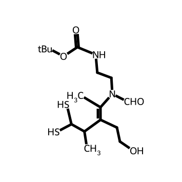 CC(=C(CCO)C(C)C(S)S)N(C=O)CCNC(=O)OC(C)(C)C